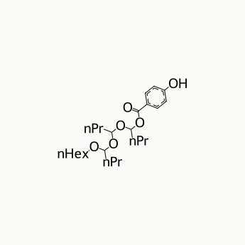 CCCCCCOC(CCC)OC(CCC)OC(CCC)OC(=O)c1ccc(O)cc1